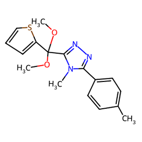 COC(OC)(c1cccs1)c1nnc(-c2ccc(C)cc2)n1C